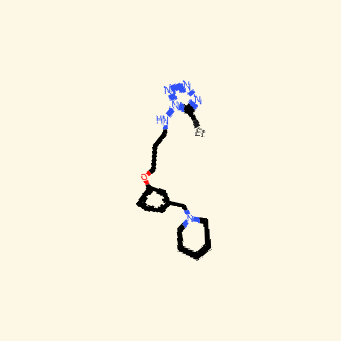 CCc1nnnn1NCCCOc1cccc(CN2CCCCC2)c1